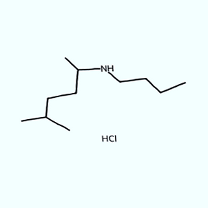 CCCCNC(C)CCC(C)C.Cl